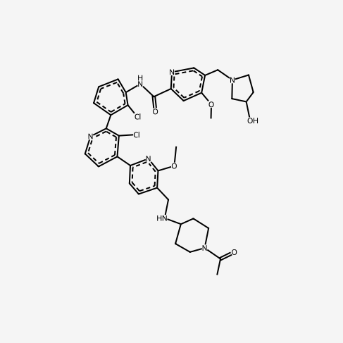 COc1cc(C(=O)Nc2cccc(-c3nccc(-c4ccc(CNC5CCN(C(C)=O)CC5)c(OC)n4)c3Cl)c2Cl)ncc1CN1CCC(O)C1